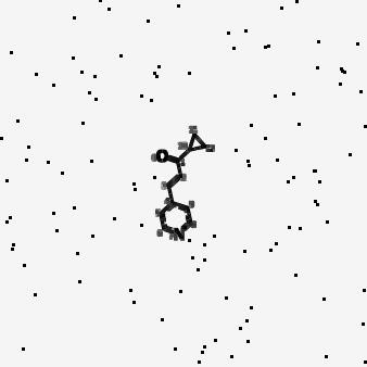 O=C(C=Cc1ccncc1)C1CC1